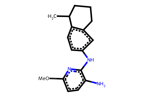 [CH2]C1CCCc2cc(Nc3nc(OC)ccc3N)ccc21